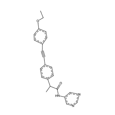 CCOc1ccc(C#Cc2ccc(C(C)C(=O)Nc3cncnc3)cc2)cc1